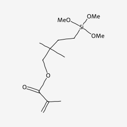 C=C(C)C(=O)OCC(C)(C)CC[Si](OC)(OC)OC